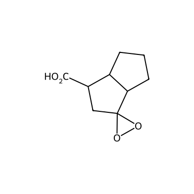 O=C(O)C1CC2(OO2)C2CCCC12